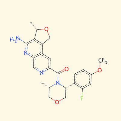 C[C@@H]1OCc2c1c(N)nc1cnc(C(=O)N3[C@@H](C)COC[C@H]3c3ccc(OC(F)(F)F)cc3F)cc21